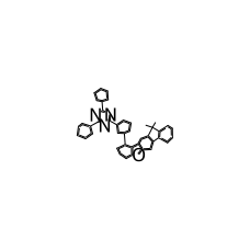 CC1(C)c2ccccc2-c2cc3oc4cccc(-c5cccc(-c6nc(-c7ccccc7)nc(-c7ccccc7)n6)c5)c4c3cc21